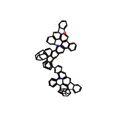 C1=C2CC3CC(C1)C1(c4ccccc4-c4ccc(N(c5cccc(-c6cccc7c6sc6c(-c8ccc(-c9ccccc9)c(-c9ccccc9-c9ccccc9N(c9ccc%10c(c9)C9(c%11ccccc%11-%10)C%10CC%11CC(C%10)CC9C%11)c9ccccc9-c9cccc%10c9oc9ccccc9%10)c8)cccc67)c5)c5ccccc5-c5ccccc5-c5ccccc5-c5ccccc5)cc41)C(C2)C3